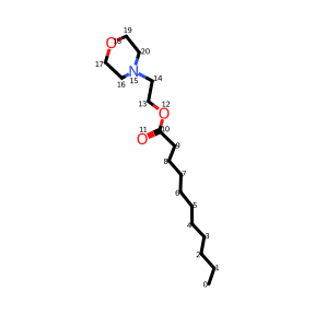 CCCCCCCCCCC(=O)OCCN1CCOCC1